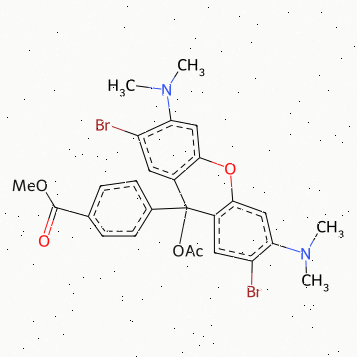 COC(=O)c1ccc(C2(OC(C)=O)c3cc(Br)c(N(C)C)cc3Oc3cc(N(C)C)c(Br)cc32)cc1